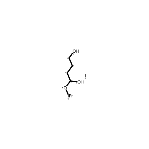 CC(C)OC(O)CCCO.[Ti]